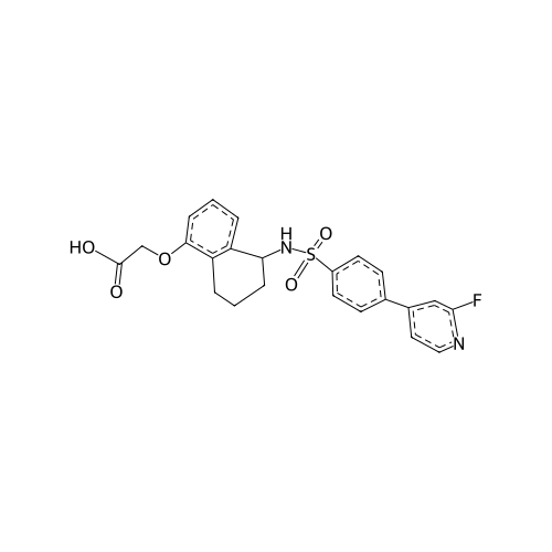 O=C(O)COc1cccc2c1CCCC2NS(=O)(=O)c1ccc(-c2ccnc(F)c2)cc1